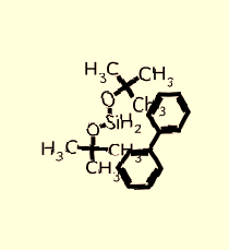 CC(C)(C)O[SiH2]OC(C)(C)C.c1ccc(-c2ccccc2)cc1